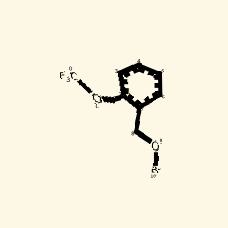 FC(F)(F)Oc1ccccc1COBr